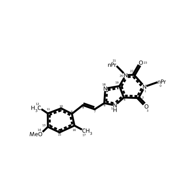 CCCn1c(=O)c2[nH]c(C=Cc3cc(C)c(OC)cc3C)nc2n(CCC)c1=O